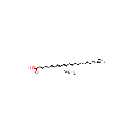 CCCCCCCCCC=CC=CC=CC=CC=CC=CC(=O)O.[MgH2]